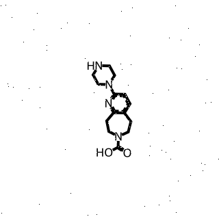 O=C(O)N1CCc2ccc(N3CCNCC3)nc2CC1